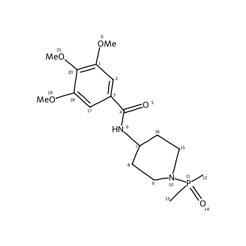 COc1cc(C(=O)NC2CCN(P(C)(C)=O)CC2)cc(OC)c1OC